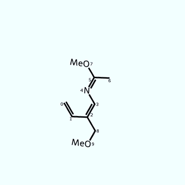 C=C/C(=C\N=C(/C)OC)COC